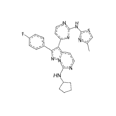 Cc1csc(Nc2nccc(-c3c(-c4ccc(F)cc4)nn4c(NC5CCCC5)nccc34)n2)n1